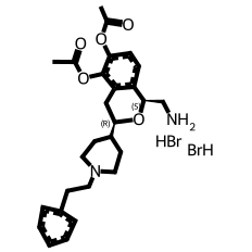 Br.Br.CC(=O)Oc1ccc2c(c1OC(C)=O)C[C@H](C1CCN(CCc3ccccc3)CC1)O[C@@H]2CN